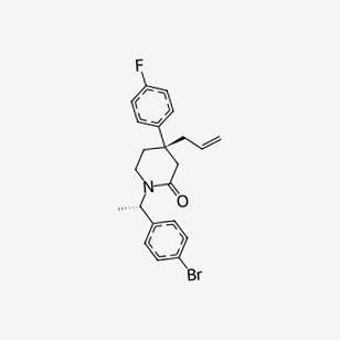 C=CC[C@]1(c2ccc(F)cc2)CCN([C@@H](C)c2ccc(Br)cc2)C(=O)C1